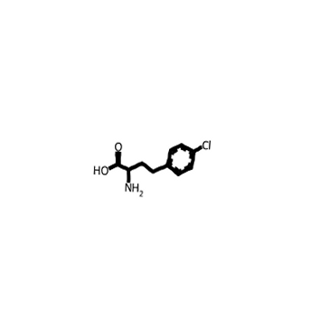 NC(CCc1ccc(Cl)cc1)C(=O)O